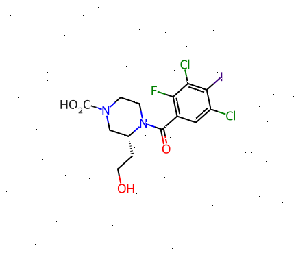 O=C(O)N1CCN(C(=O)c2cc(Cl)c(I)c(Cl)c2F)[C@H](CCO)C1